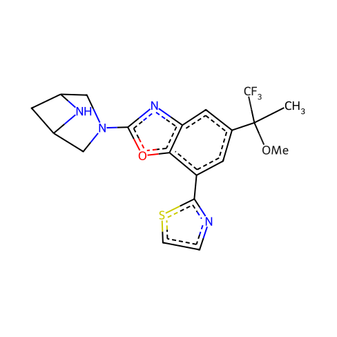 COC(C)(c1cc(-c2nccs2)c2oc(N3CC4CC(C3)N4)nc2c1)C(F)(F)F